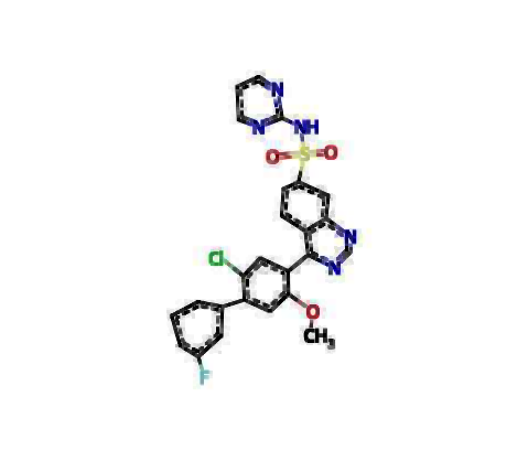 COc1cc(-c2cccc(F)c2)c(Cl)cc1-c1ncnc2cc(S(=O)(=O)Nc3ncccn3)ccc12